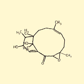 CC1=CCCC2(C)OC2C(=O)C2=CC(O)C(C)C(C)(CC1)C2(C)O